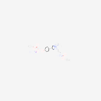 C[n+]1cc(-c2ccc(OC[C@H](ON)C(=O)OC(C)(C)C)cc2)cn1CCCNC(=O)OC(C)(C)C